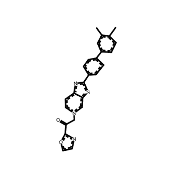 Cc1ccc(-c2ccc(-c3nc4ccn(CC(=O)c5ncco5)cc-4n3)cc2)cc1C